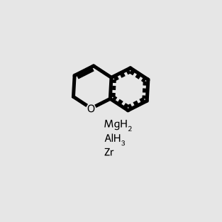 C1=Cc2ccccc2OC1.[AlH3].[MgH2].[Zr]